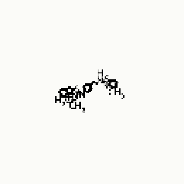 C=C(C)CN1/C(=N/c2ccc(CCNc3nc4c(C)cccc4s3)cc2)SC2Cc3ccccc3[C@@H]21